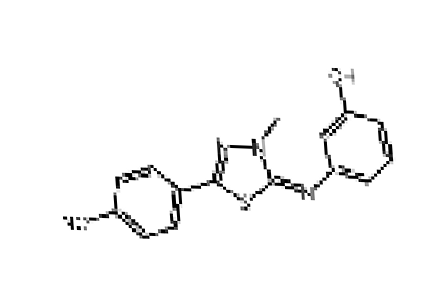 Cn1nc(-c2ccc(C#N)cc2)s/c1=N/c1cccc(O)c1